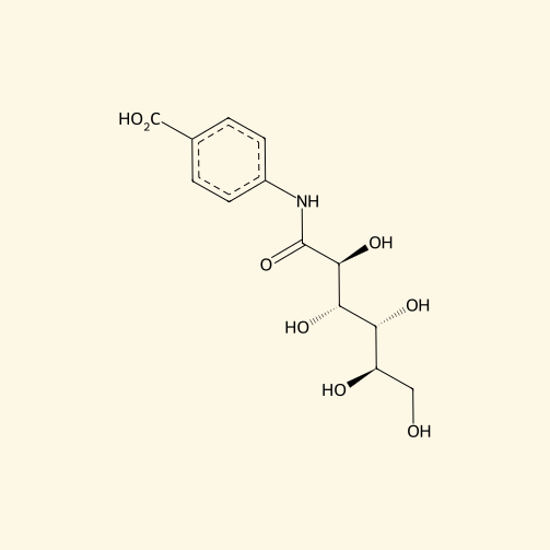 O=C(O)c1ccc(NC(=O)[C@@H](O)[C@@H](O)[C@H](O)[C@H](O)CO)cc1